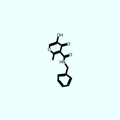 Cc1occ(O)c(=O)c1C(=O)NCc1ccccc1